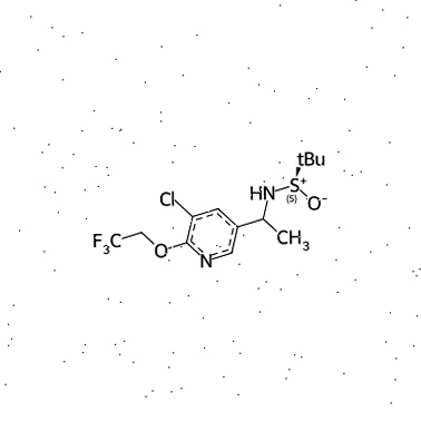 CC(N[S@+]([O-])C(C)(C)C)c1cnc(OCC(F)(F)F)c(Cl)c1